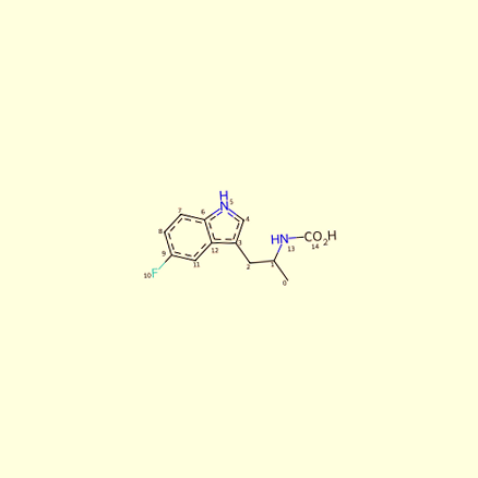 CC(Cc1c[nH]c2ccc(F)cc12)NC(=O)O